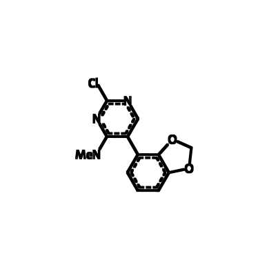 CNc1nc(Cl)ncc1-c1cccc2c1OCO2